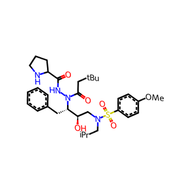 COc1ccc(S(=O)(=O)N(CC(C)C)C[C@@H](O)[C@H](Cc2ccccc2)N(NC(=O)C2CCCN2)C(=O)CC(C)(C)C)cc1